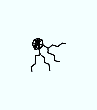 CCCCP(CCCC)[C]12[CH]3[CH]4[CH]5[C]1(P(CCCC)CCCC)[Ni]43521678[CH]2[CH]1[CH]6[CH]7[CH]28